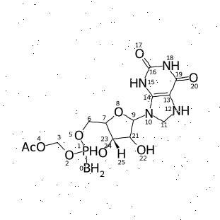 B[PH]1(OCOC(C)=O)OCC2OC(N3CNc4c3[nH]c(=O)[nH]c4=O)C(O)[C@@H]2O1